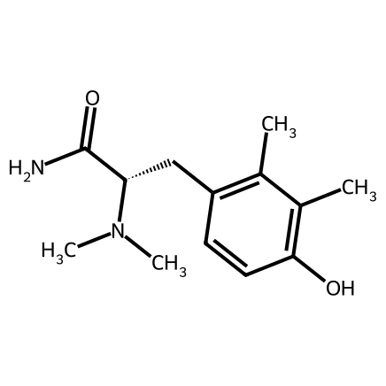 Cc1c(O)ccc(C[C@@H](C(N)=O)N(C)C)c1C